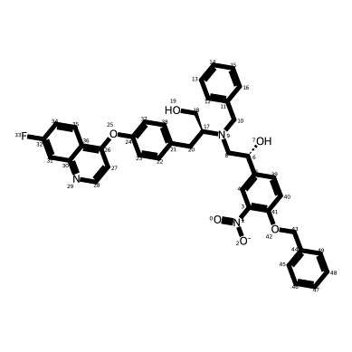 O=[N+]([O-])c1cc([C@@H](O)CN(Cc2ccccc2)[C@H](CO)Cc2ccc(Oc3ccnc4cc(F)ccc34)cc2)ccc1OCc1ccccc1